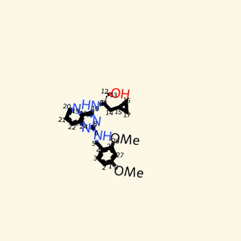 COc1ccc(CNc2nc(N[C@H](CO)CC3CC3)c3ncccc3n2)c(OC)c1